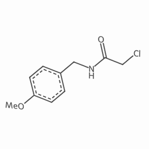 COc1ccc(CNC(=O)CCl)cc1